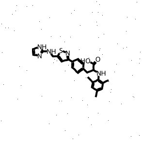 Cc1cc(C)c(NC(Cc2ccc(-c3cc(CNc4ncc[nH]4)sn3)cc2)C(=O)O)c(C)c1